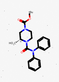 CC(C)(C)OC(=O)N1CCN(C(=O)N(c2ccccc2)c2ccccc2)[C@H](C(=O)O)C1